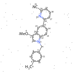 COc1cn(Cc2ccc(C)cc2)c2ccc(-c3cccc(C#N)n3)cc12